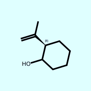 C=C(C)[C@H]1CCCCC1O